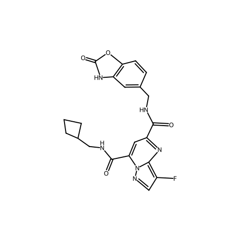 O=C(NCc1ccc2oc(=O)[nH]c2c1)c1cc(C(=O)NCC2CCC2)n2ncc(F)c2n1